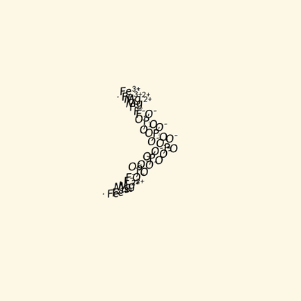 O=P([O-])([O-])[O-].O=P([O-])([O-])[O-].O=P([O-])([O-])[O-].O=P([O-])([O-])[O-].O=P([O-])([O-])[O-].[F-].[F-].[F-].[F-].[F-].[Fe+3].[Fe+3].[Fe+3].[Fe+3].[Mg+2].[Mg+2].[Mg+2].[Mg+2]